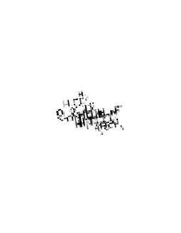 [C-]#[N+]C1=C[C@]2(C)[C@H]3CC(=O)[C@@H]4[C@@H]5CC(C)(C)CC[C@]5(NC(=O)OC5CCOC5)CC[C@@]4(C)[C@]3(C)CC[C@H]2C(C)(C)C1=O